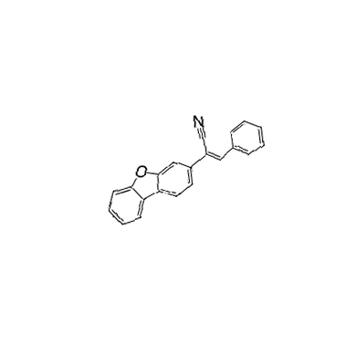 N#CC(=Cc1ccccc1)c1ccc2c(c1)oc1ccccc12